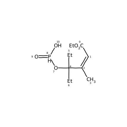 CCOC(=O)C=C(C)C(CC)(CC)O[PH](=O)O